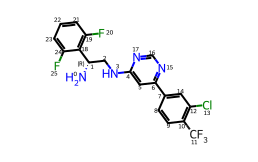 N[C@@H](CNc1cc(-c2ccc(C(F)(F)F)c(Cl)c2)ncn1)c1c(F)cccc1F